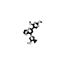 COc1ncc(-c2cc(N3CC(O)C4(CC4)C3)c3nccn3n2)c(OC)n1